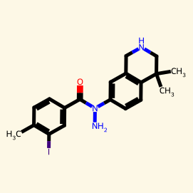 Cc1ccc(C(=O)N(N)c2ccc3c(c2)CNCC3(C)C)cc1I